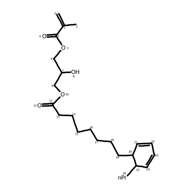 C=C(C)C(=O)OCC(O)COC(=O)CCCCCCCC1C=CC=CC1CCC